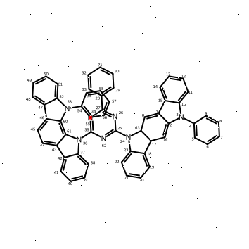 C1=c2c(n(-c3ccccc3)c3ccccc23)=CC2c3ccccc3N(c3nc(-c4ccccc4)nc(-n4c5ccccc5c5ccc6c7ccccc7n(-c7ccccc7)c6c54)n3)C12